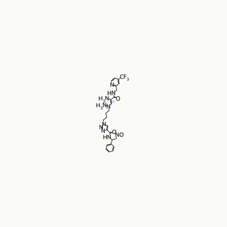 N/C(=C\N(N)CCCCn1cc(C(=O)NC(CN=O)c2ccccc2)nn1)C(=O)NCc1cc(C(F)(F)F)ccn1